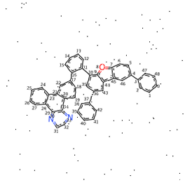 c1ccc(-c2ccc3oc4c(-c5ccccc5-c5ccc6c(c5)c5ccccc5c5nccnc65)cc(-c5ccccc5)cc4c3c2)cc1